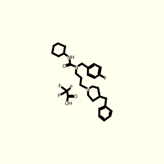 O=C(NC1CCCCC1)N(CCCN1CCC(Cc2ccccc2)CC1)Cc1ccc(F)cc1.O=C(O)C(F)(F)F